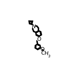 COc1cccc(COc2ccc3c(c2)CCN(C2=CC=C2)CC3)c1